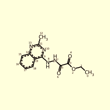 CCOC(=O)C(=O)NNc1nc(C)nc2ccccc12